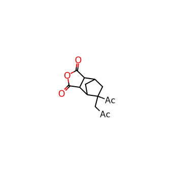 CC(=O)CC1(C(C)=O)CC2CC1C1C(=O)OC(=O)C21